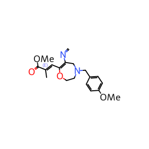 C=NC1=C(/C=C(\C)C(=O)OC)OCCN(Cc2ccc(OC)cc2)C1